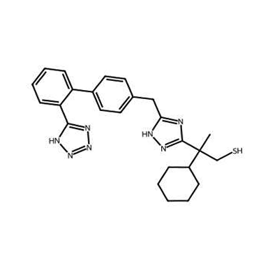 CC(CS)(c1n[nH]c(Cc2ccc(-c3ccccc3-c3nnn[nH]3)cc2)n1)C1CCCCC1